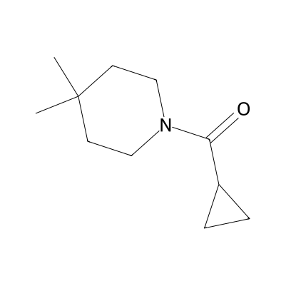 CC1(C)CCN(C(=O)C2CC2)CC1